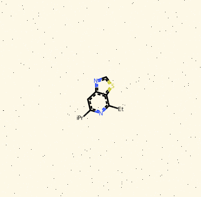 CCc1nc(C(C)C)cc2ncsc12